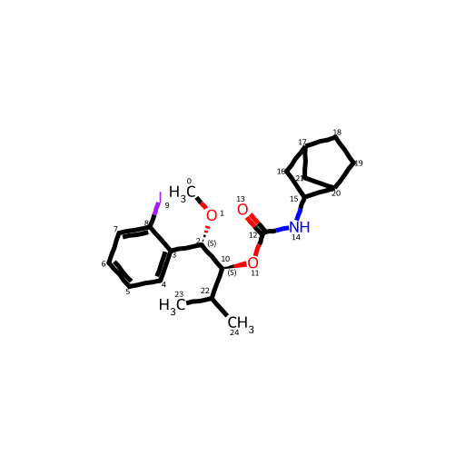 CO[C@@H](c1ccccc1I)[C@@H](OC(=O)NC1CC2CCC1C2)C(C)C